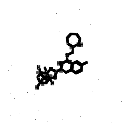 Cc1ccc(C[C@H](NC(=O)OC[C@H]2CCCCCN2)B2O[C@@H]3C[C@@H]4C[C@@H](C4(C)C)[C@]3(C)O2)cc1